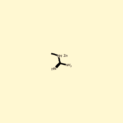 CNC(=N)N.[Zn]